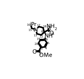 COC(=O)c1ccc(NC2(C(N)=O)CCN(C[C](C)C)CC2)cc1